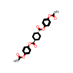 CCCC(=O)Oc1ccc(OC(=O)[C@H]2CC[C@H](C(=O)Oc3ccc(OC(=O)CCC)cc3)CC2)cc1